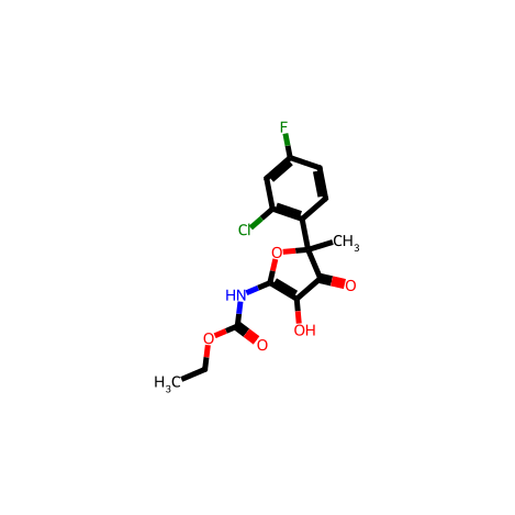 CCOC(=O)NC1=C(O)C(=O)C(C)(c2ccc(F)cc2Cl)O1